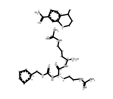 CC1CCOc2cc(C(N)=O)ccc21.N=C(N)NCCC[C@H](NC(=O)[C@H](CCCNC(=N)N)NC(=O)OCc1ccccc1)C(=O)O